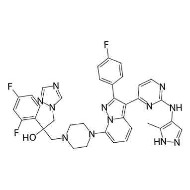 Cc1[nH]ncc1Nc1nccc(-c2c(-c3ccc(F)cc3)nn3c(N4CCN(CC(O)(Cn5cncn5)c5ccc(F)cc5F)CC4)cccc23)n1